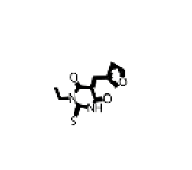 CCN1C(=O)/C(=C/c2ccoc2)C(=O)NC1=S